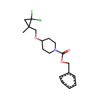 CC1(COC2CCN(C(=O)OCc3ccccc3)CC2)CC1(F)Br